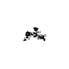 CCOC(=O)c1cccc2nc(N3CC[C@@H](NC(=O)c4nc(Cl)c(CC)[nH]4)[C@@H](NC4CCCC4)C3)sc12